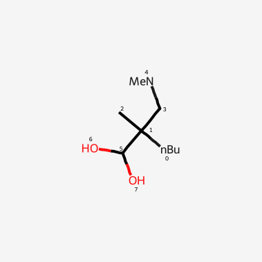 CCCCC(C)(CNC)C(O)O